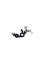 C#[SH](N)CC(C)C1/C=C\CC(Cc2ccc(C(C)(C)F)cc2)C/C=C\1CCC